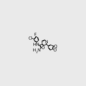 Nc1oc2c(-c3ccc4c(c3)OCO4)nccc2c1Nc1ccc(F)c(Cl)c1